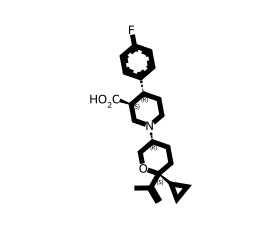 C=C(C)[C@@]1(C2CC2)CC[C@@H](N2CC[C@@H](c3ccc(F)cc3)[C@H](C(=O)O)C2)CO1